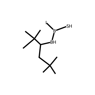 CC(C)(C)CC(BB(S)I)C(C)(C)C